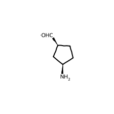 N[C@@H]1CC[C@H]([C]=O)C1